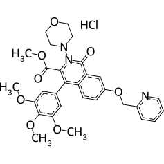 COC(=O)c1c(-c2cc(OC)c(OC)c(OC)c2)c2ccc(OCc3ccccn3)cc2c(=O)n1N1CCOCC1.Cl